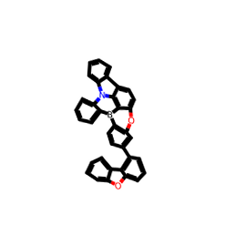 c1ccc2c(c1)B1c3ccc(-c4cccc5oc6ccccc6c45)cc3Oc3ccc4c5ccccc5n-2c4c31